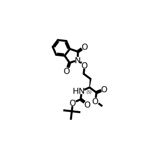 COC(=O)[C@H](CCON1C(=O)c2ccccc2C1=O)NC(=O)OC(C)(C)C